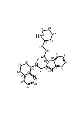 CN(Cc1nc2ccccc2n1CCCC1CCCCN1)C1CCCc2cccnc21